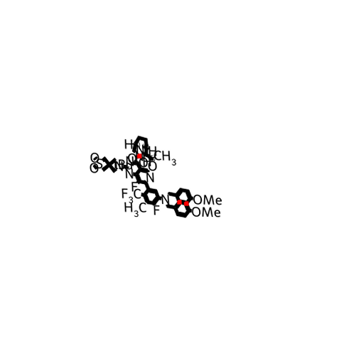 COc1ccc(CN(Cc2ccc(OC)cc2)c2cc(-c3nc4c5c(nc(N6CC7(C6)CS(=O)(=O)C7)nc5c3F)N3C[C@H]5CC[C@@H]([C@H]3[C@H](C)O4)N5C(=O)OC(C)(C)C)c(C(F)(F)F)c(C)c2F)cc1